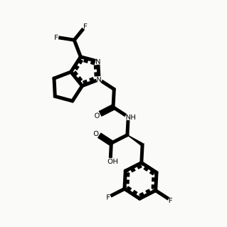 O=C(Cn1nc(C(F)F)c2c1CCC2)N[C@@H](Cc1cc(F)cc(F)c1)C(=O)O